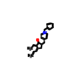 C=C/C=C1/CC(Cc2cc[n+](Cc3ccccc3)cc2)C(=O)/C1=C/C